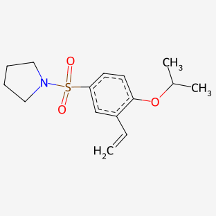 C=Cc1cc(S(=O)(=O)N2CCCC2)ccc1OC(C)C